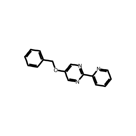 c1ccc(COc2cnc(-c3ccccn3)nc2)cc1